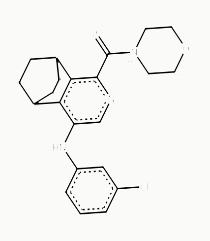 O=C(c1ncc(Nc2cccc(Cl)c2)c2c1C1CCC2CC1)N1CCOCC1